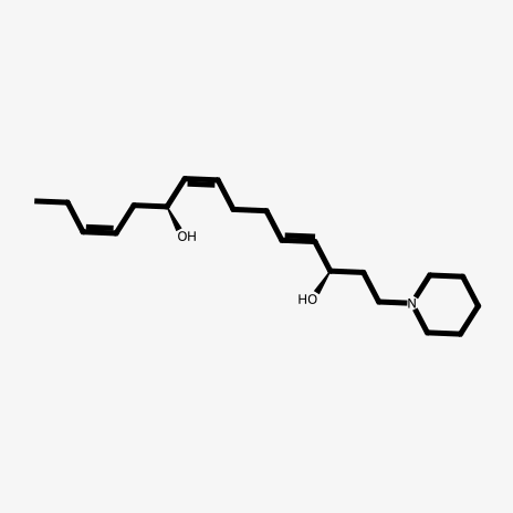 CC/C=C\C[C@H](O)/C=C\CC/C=C/[C@H](O)CCN1CCCCC1